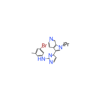 Cc1cc(Br)cc(Nc2nccc(-c3cn(C(C)C)c4cnccc34)n2)c1